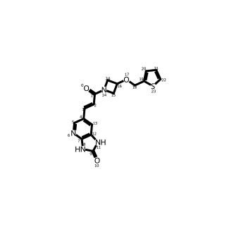 O=C(C=Cc1cnc2[nH]c(=O)[nH]c2c1)N1CC(OCc2cccs2)C1